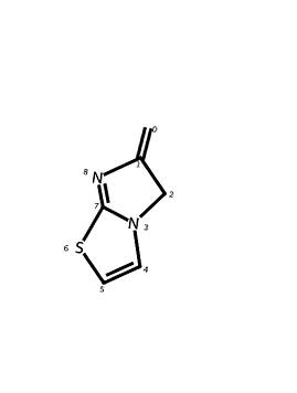 C=C1CN2C=CSC2=N1